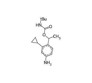 CC(OC(=O)NC(C)(C)C)c1ccc(N)cc1C1CC1